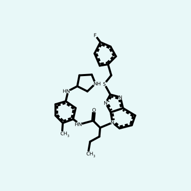 CCCC(C(=O)Nc1cc(NC2CCNC2)ccc1C)n1cccc2nc(SCc3ccc(F)cc3)nc1-2